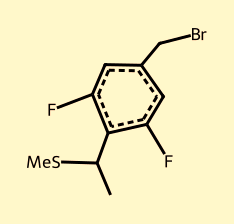 CSC(C)c1c(F)cc(CBr)cc1F